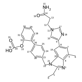 CCc1nc2c(C)cc(-c3cn(CCC(N)=O)cn3)cc2n1Cc1ccc(-c2ccccc2OC(=O)O)cc1